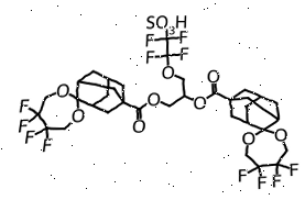 O=C(OCC(COC(F)(F)C(F)(F)S(=O)(=O)O)OC(=O)C12CC3CC(C1)C1(OCC(F)(F)C(F)(F)CO1)C(C3)C2)C12CC3CC(C1)C1(OCC(F)(F)C(F)(F)CO1)C(C3)C2